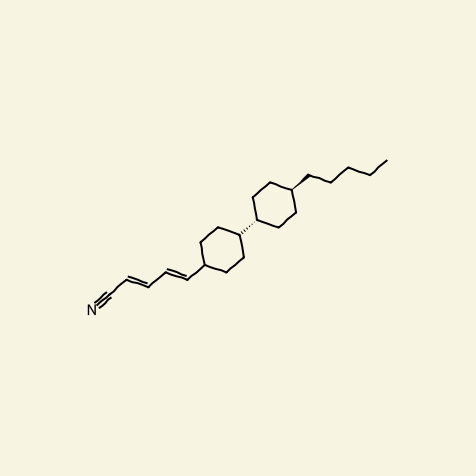 CCCCC[C@H]1CC[C@H](C2CCC(C=CC=CC#N)CC2)CC1